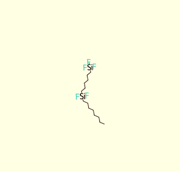 CCCCCCCC[Si](F)(F)CCCCCC[Si](F)(F)F